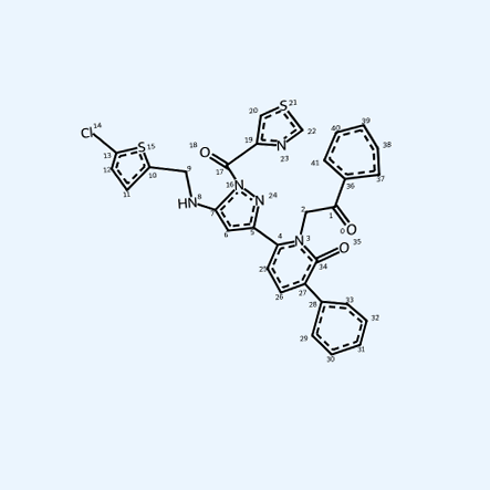 O=C(Cn1c(-c2cc(NCc3ccc(Cl)s3)n(C(=O)c3cscn3)n2)ccc(-c2ccccc2)c1=O)c1ccccc1